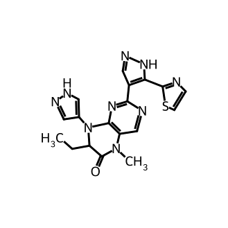 CCC1C(=O)N(C)c2cnc(-c3cn[nH]c3-c3nccs3)nc2N1c1cn[nH]c1